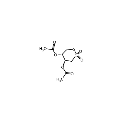 CC(=O)O[C@@H]1CSS(=O)(=O)C[C@H]1OC(C)=O